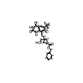 O=C(OCc1ccccc1)N1CC(CO)(CSc2c(Cl)c(C(F)(F)F)cc3c(=O)[nH]c(=O)[nH]c23)C1